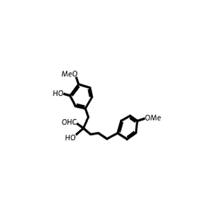 COc1ccc(CCCC(O)(C=O)Cc2ccc(OC)c(O)c2)cc1